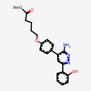 COC(=O)CCCCOc1ccc(-c2cc(-c3ccccc3O)nnc2N)cc1